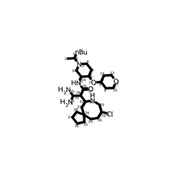 CCCCC(C)N1CCC(OC2CCOCC2)C(NC(=O)C(C(N)N)C2CC3(CCCC3)CCC(Cl)CN2)C1